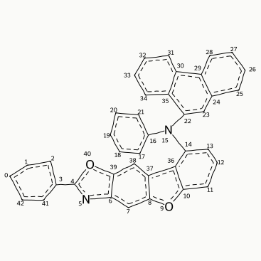 c1ccc(-c2nc3cc4oc5cccc(N(c6ccccc6)c6cc7ccccc7c7ccccc67)c5c4cc3o2)cc1